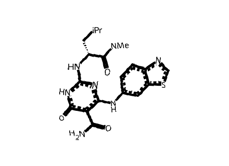 CNC(=O)[C@@H](CC(C)C)Nc1nc(Nc2ccc3ncsc3c2)c(C(N)=O)c(=O)[nH]1